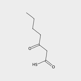 CCCCC(=O)CC(=O)S